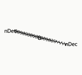 CCCCCCCCCCCCCCCCCCCCCCCCCCCCCCOCCCCCCCCCCCCCCCCCCCCCCCCCCCC